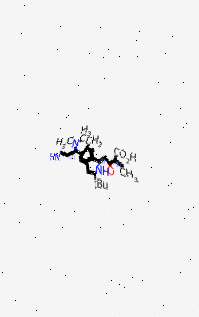 C/C=C(/C(=O)O)C(=O)/C=C1\NC(C(C)(C)C)Cc2cc(/C(=C/C=N)N(C)C)c(C)cc21